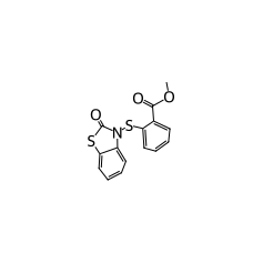 COC(=O)c1ccccc1Sn1c(=O)sc2ccccc21